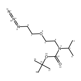 CC(C)N(CCOCCN=[N+]=[N-])C(=O)OC(C)(C)C